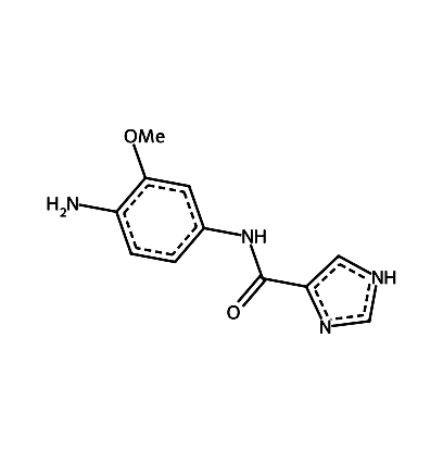 COc1cc(NC(=O)c2c[nH]cn2)ccc1N